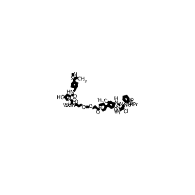 Cc1cc(Nc2ncc(Cl)c(Nc3ccccc3S(=O)(=O)C(C)C)n2)c(OC(C)C)cc1C1CCN(C(=O)CCOCCOCCC(=O)N[C@H](C(=O)N2C[C@H](O)C[C@H]2C(=O)NCc2ccc(-c3scnc3C)cc2)C(C)(C)C)CC1